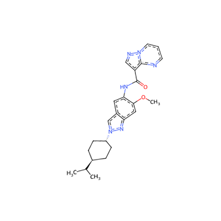 COc1cc2nn([C@H]3CC[C@H](C(C)C)CC3)cc2cc1NC(=O)c1cnn2cccnc12